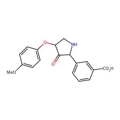 COc1ccc(OC2CNC(c3cccc(C(=O)O)c3)C2=O)cc1